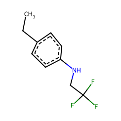 CCc1ccc(NCC(F)(F)F)cc1